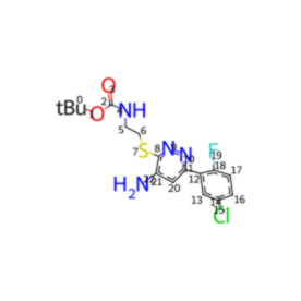 CC(C)(C)OC(=O)NCCSc1nnc(-c2cc(Cl)ccc2F)cc1N